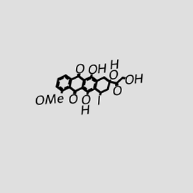 COc1cccc2c1C(=O)c1c(O)c3c(c(O)c1C2=O)C[C@@](O)(C(=O)CO)CC3I